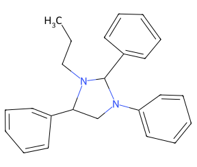 CCCN1C(c2ccccc2)CN(c2ccccc2)C1c1ccccc1